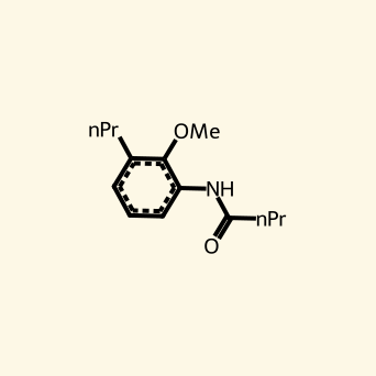 CCCC(=O)Nc1cccc(CCC)c1OC